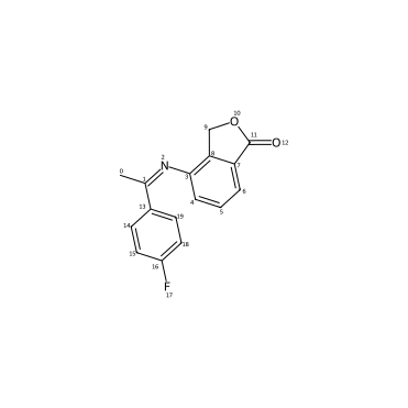 CC(=Nc1cccc2c1COC2=O)c1ccc(F)cc1